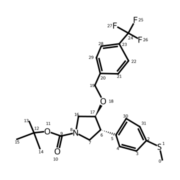 CSc1ccc([C@@H]2CN(C(=O)OC(C)(C)C)C[C@H]2OCc2ccc(C(F)(F)F)cc2)cc1